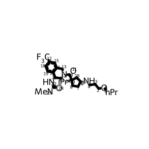 CCCOCCCN[C@@H]1CC[C@@](C(=O)N2Cc3cc(C(F)(F)F)ccc3C(NC(=O)NC)C2)(C(C)C)C1